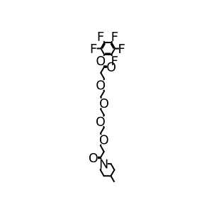 CC1CCN(C(=O)CCOCCOCCOCCOCCC(=O)Oc2c(F)c(F)c(F)c(F)c2F)CC1